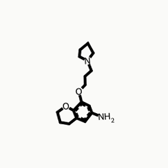 Nc1cc2c(c(OCCCN3CCCC3)c1)OCCC2